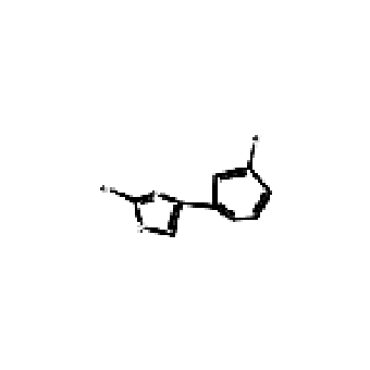 Brc1cccc(-c2csc(Br)n2)c1